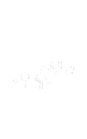 O=C(Nc1cccnc1)Nc1ccc2c(Cc3ccc(Cl)c(F)c3)n[nH]c(=O)c2c1